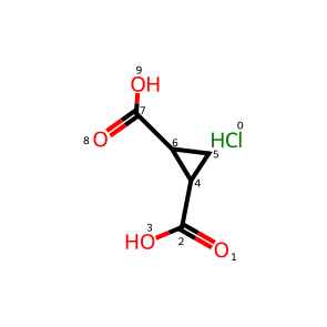 Cl.O=C(O)C1CC1C(=O)O